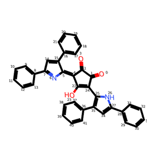 O=C1C(=O)/C(=C2/N=C(c3ccccc3)C=C2c2ccccc2)C(O)=C1c1[nH]c(-c2ccccc2)cc1-c1ccccc1